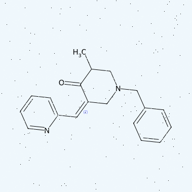 CC1CN(Cc2ccccc2)C/C(=C/c2ccccn2)C1=O